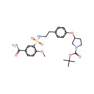 COc1ccc(C(N)=O)cc1S(=O)(=O)NCCc1ccc(OC2CCN(C(=O)OC(C)(C)C)C2)cc1